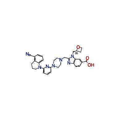 N#Cc1cccc2c1CCCN2c1cccc(N2CCN(Cc3nc4ccc(C(=O)O)cc4n3C[C@@H]3CCO3)CC2)n1